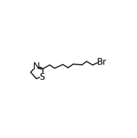 BrCCCCCCCCC1=NCCS1